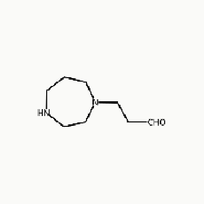 O=CCCN1CCCNCC1